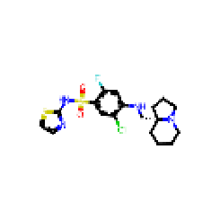 O=S(=O)(Nc1nccs1)c1cc(Cl)c(NC[C@@]23CCCCN2CCC3)cc1F